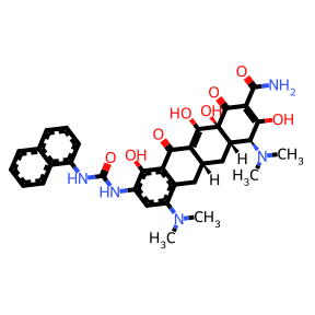 CN(C)c1cc(NC(=O)Nc2cccc3ccccc23)c(O)c2c1C[C@H]1C[C@H]3[C@H](N(C)C)C(O)=C(C(N)=O)C(=O)[C@@]3(O)C(O)=C1C2=O